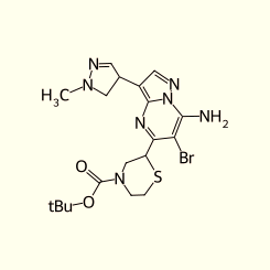 CN1CC(c2cnn3c(N)c(Br)c(C4CN(C(=O)OC(C)(C)C)CCS4)nc23)C=N1